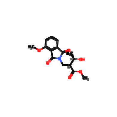 COC(=O)[C@@H](CN1C(=O)c2cccc(OC)c2C1=O)[C@@H](C)O